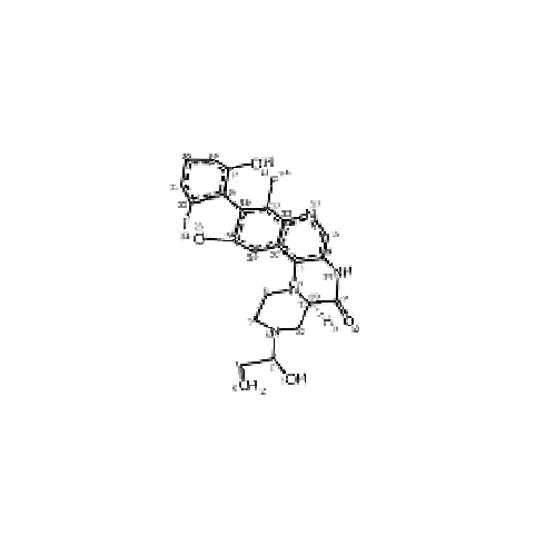 C=CC(O)N1CCN2c3c(cnc4c(F)c(-c5c(O)cccc5F)c(Cl)cc34)NC(=O)[C@H]2C1